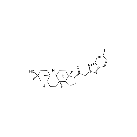 C[C@@]1(O)CC[C@@]2(C)[C@@H](CC[C@@H]3[C@@H]2CC[C@]2(C)[C@@H](C(=O)Cn4nc5ccc(F)cc5n4)CC[C@@H]32)C1